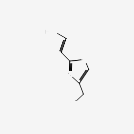 CC=Cc1nc(CCl)co1